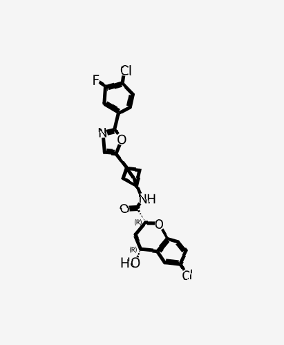 O=C(NC12CC(c3cnc(-c4ccc(Cl)c(F)c4)o3)(C1)C2)[C@H]1C[C@@H](O)c2cc(Cl)ccc2O1